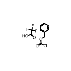 O=C(Cl)OCc1ccccc1.O=C(O)C(F)(F)F